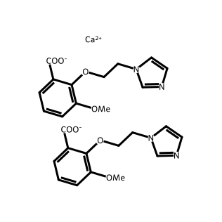 COc1cccc(C(=O)[O-])c1OCCn1ccnc1.COc1cccc(C(=O)[O-])c1OCCn1ccnc1.[Ca+2]